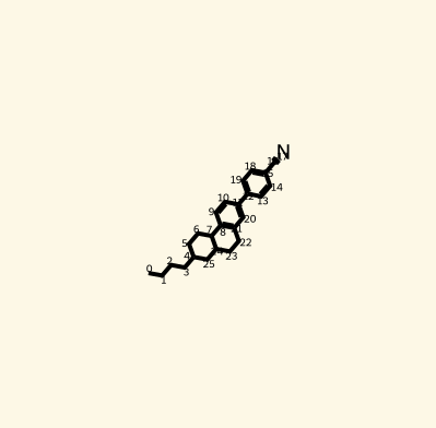 CCCCC1CCC2c3ccc(-c4ccc(C#N)cc4)cc3CCC2C1